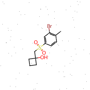 Cc1ccc(S(=O)(=O)CC2(O)CCC2)cc1Br